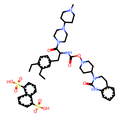 CCc1ccc(CC(NC(=O)ON2CCC(N3CCc4ccccc4NC3=O)CC2)C(=O)N2CCN(C3CCN(C)CC3)CC2)cc1CC.O=S(=O)(O)c1cccc2c(S(=O)(=O)O)cccc12